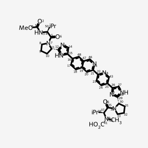 COC(=O)N[C@H](C(=O)N1CCC[C@H]1c1ncc(-c2ccc3cc(-c4ccc(-c5c[nH]c([C@@H]6CCCN6C(=O)[C@H](C(C)C)N(C)C(=O)O)n5)cn4)ncc3c2)[nH]1)C(C)C